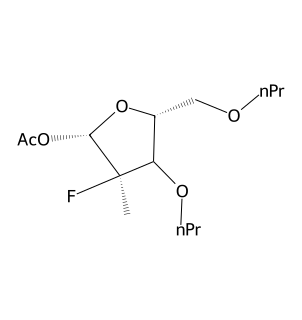 CCCOC[C@H]1O[C@@H](OC(C)=O)[C@](C)(F)C1OCCC